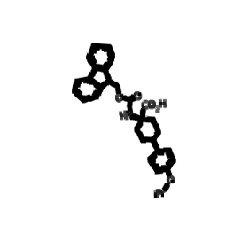 CC(C)Oc1ccc(C2CCC(NC(=O)OCC3c4ccccc4-c4ccccc43)(C(=O)O)CC2)cc1